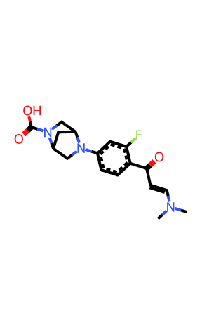 CN(C)C=CC(=O)c1ccc(N2CC3CC2CN3C(=O)O)cc1F